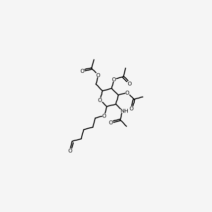 CC(=O)NC1C(OCCCCC=O)OC(COC(C)=O)C(OC(C)=O)C1OC(C)=O